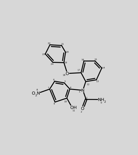 NC(=O)N(c1ccc([N+](=O)[O-])cc1O)c1ccccc1Oc1ccccc1